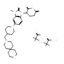 Cn1c(=O)n(C2CCC(=O)NC2=O)c2ccc(N3CCC(CN4CCC5(CCNCC5)CC4)CC3)cc21.O=C(O)C(F)(F)F.O=C(O)C(F)(F)F